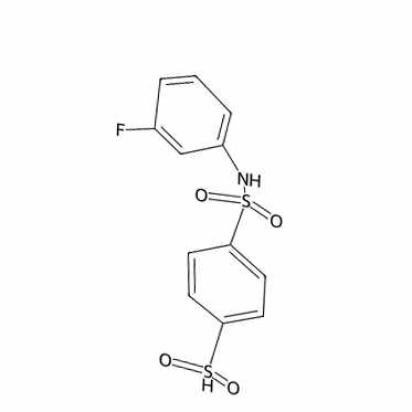 O=[SH](=O)c1ccc(S(=O)(=O)Nc2cccc(F)c2)cc1